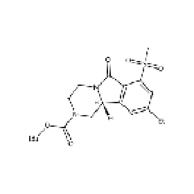 CCc1cc2c(c(S(C)(=O)=O)c1)C(=O)N1CCN(C(=O)OC(C)(C)C)C[C@@H]21